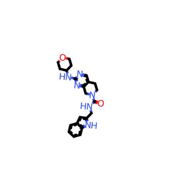 O=C(NCc1cc2ccccc2[nH]1)N1CCc2cnc(NC3CCOCC3)nc2C1